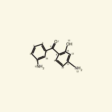 Nc1cccc(C(=O)c2ccc(N)cc2O)c1